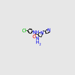 NC1=C(C(=O)Nc2ccc(Cl)cc2)CN(Cc2cccnc2)CC1